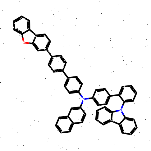 c1ccc(-n2c3ccccc3c3ccccc32)c(-c2ccc(N(c3ccc(-c4ccc(-c5ccc6c(c5)oc5ccccc56)cc4)cc3)c3ccc4ccccc4c3)cc2)c1